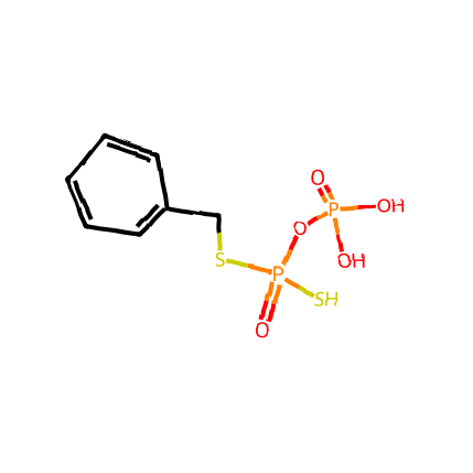 O=P(O)(O)OP(=O)(S)SCc1ccccc1